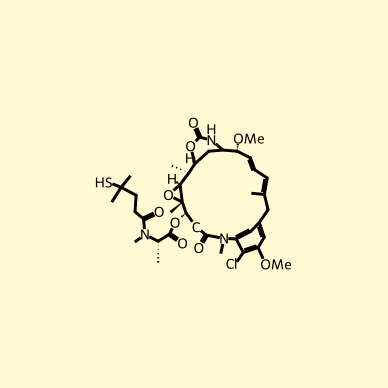 COc1cc2cc(c1Cl)N(C)C(=O)C[C@H](OC(=O)[C@H](C)N(C)C(=O)CCC(C)(C)S)[C@]1(C)O[C@H]1[C@H](C)[C@@H]1CC(NC(=O)O1)[C@H](OC)/C=C/C=C(\C)C2